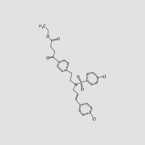 CCOC(=O)CCC(=O)c1ccc(CCN(C/C=C/c2ccc(Cl)cc2)S(=O)(=O)c2ccc(Cl)cc2)cc1